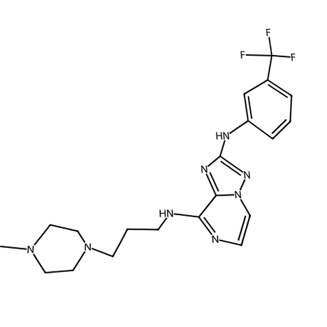 CN1CCN(CCCNc2nccn3nc(Nc4cccc(C(F)(F)F)c4)nc23)CC1